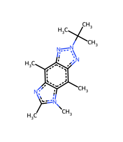 Cc1c2nn(C(C)(C)C)nc2c(C)c2c1nc(C)n2C